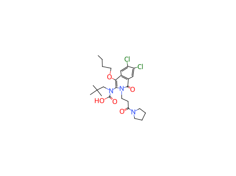 CCCCOc1c(N(CC(C)(C)C)C(=O)O)n(CCC(=O)N2CCCC2)c(=O)c2cc(Cl)c(Cl)cc12